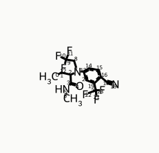 CCC(C(=O)NC)N(CC(F)(F)F)c1ccc(C#N)c(C(F)(F)F)c1